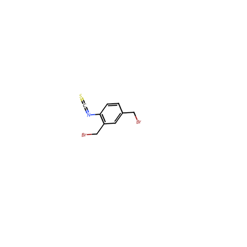 S=C=Nc1ccc(CBr)cc1CBr